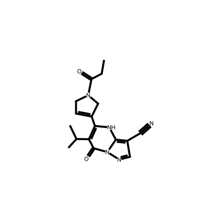 CCC(=O)N1CC=C(c2[nH]c3c(C#N)cnn3c(=O)c2C(C)C)C1